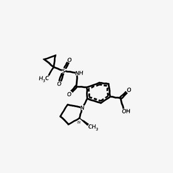 C[C@H]1CCCN1c1cc(C(=O)O)ccc1C(=O)NS(=O)(=O)C1(C)CC1